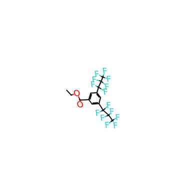 CCOC(=O)c1cc(C(F)(F)C(F)(F)C(F)(F)F)cc(C(F)(F)C(F)(F)C(F)(F)F)c1